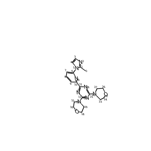 Cc1nccn1-c1cccc(-c2nc(N3CCOCC3)nc(N3CCOCC3)n2)n1